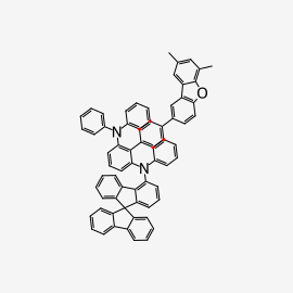 Cc1cc(C)c2oc3ccc(-c4ccc(-c5c(N(c6ccccc6)c6ccccc6)cccc5N(c5ccccc5)c5cccc6c5-c5ccccc5C65c6ccccc6-c6ccccc65)cc4)cc3c2c1